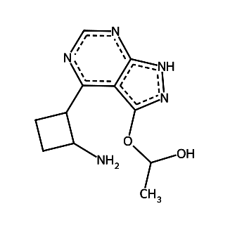 CC(O)Oc1n[nH]c2ncnc(C3CCC3N)c12